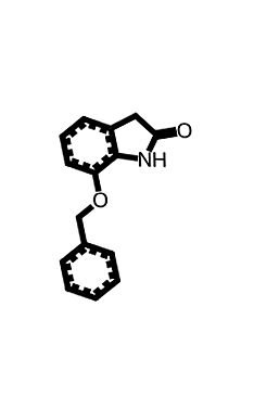 O=C1Cc2cccc(OCc3ccccc3)c2N1